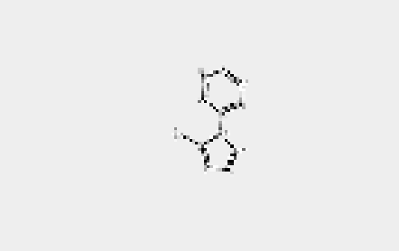 Brc1ccnn1-c1cccnc1